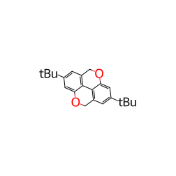 CC(C)(C)c1cc2c3c(c1)OCc1cc(C(C)(C)C)cc(c1-3)OC2